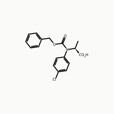 C[C@@H](C(=O)O)N(C(=O)OCc1ccccc1)c1ccc(Cl)cc1